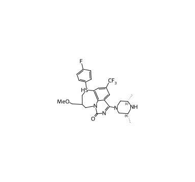 COCC1Cn2c(=O)nc(N3C[C@@H](C)N[C@@H](C)C3)c3cc(C(F)(F)F)cc(c32)[SH](c2ccc(F)cc2)C1